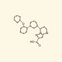 O=C(O)c1cc2nccc(-c3cccc(-c4ccccc4Oc4ccccc4)c3)n2n1